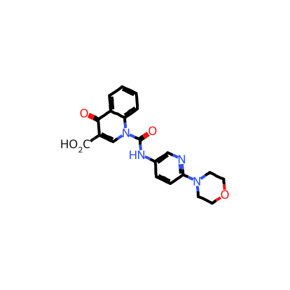 O=C(O)c1cn(C(=O)Nc2ccc(N3CCOCC3)nc2)c2ccccc2c1=O